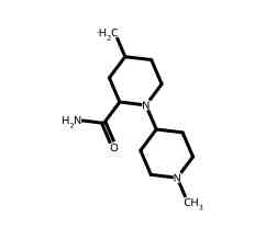 [CH2]C1CCN(C2CCN(C)CC2)C(C(N)=O)C1